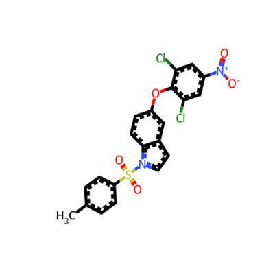 Cc1ccc(S(=O)(=O)n2ccc3cc(Oc4c(Cl)cc([N+](=O)[O-])cc4Cl)ccc32)cc1